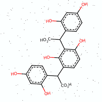 O=C(O)C(c1ccc(O)cc1O)c1ccc(O)c(C(C(=O)O)c2ccc(O)cc2O)c1O